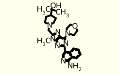 Cn1c(CN2CCC(C(C)(C)O)CC2)nc2c(N3CCOCC3)nc(-c3cnc(N)c4ccccc34)nc21